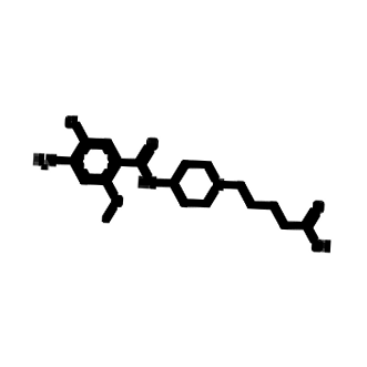 COc1cc(N)c(Cl)cc1C(=O)NC1CCN(CCCCC(=O)O)CC1